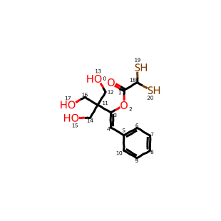 O=C(OC(=Cc1ccccc1)C(CO)(CO)CO)C(S)S